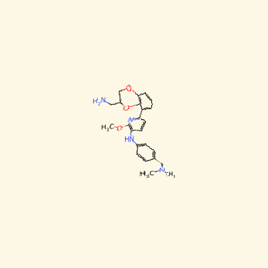 COc1nc(-c2cccc3c2OC(CN)CO3)ccc1Nc1ccc(CN(C)C)cc1